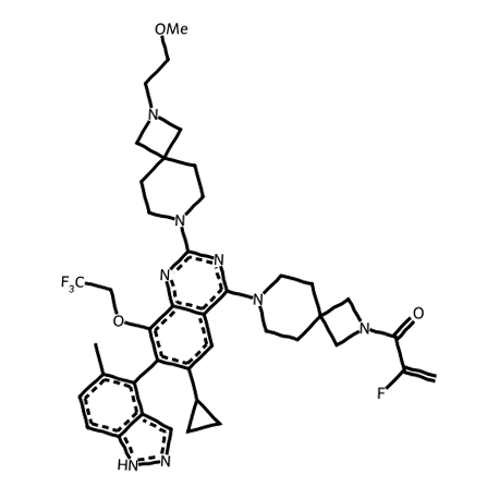 C=C(F)C(=O)N1CC2(CCN(c3nc(N4CCC5(CC4)CN(CCOC)C5)nc4c(OCC(F)(F)F)c(-c5c(C)ccc6[nH]ncc56)c(C5CC5)cc34)CC2)C1